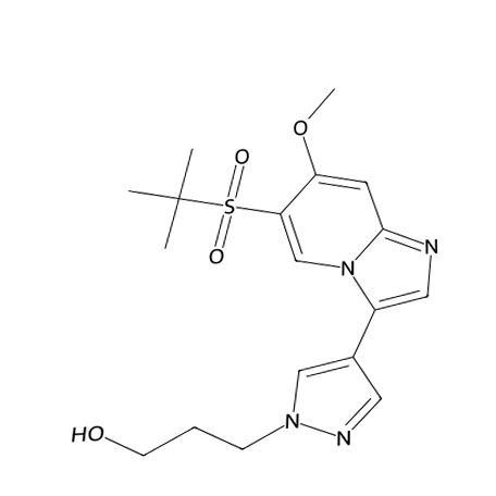 COc1cc2ncc(-c3cnn(CCCO)c3)n2cc1S(=O)(=O)C(C)(C)C